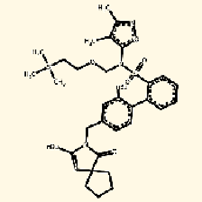 CCCCC1=NC2(CCCC2)C(=O)N1Cc1ccc(-c2ccccc2S(=O)(=O)N(COCC[Si](C)(C)C)c2onc(C)c2C)c(CCCC)c1